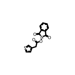 O=C(Cc1ccsc1)ON1C(=O)c2ccccc2C1=O